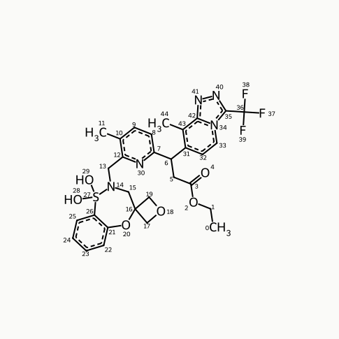 CCOC(=O)CC(c1ccc(C)c(CN2CC3(COC3)Oc3ccccc3S2(O)O)n1)c1ccn2c(C(F)(F)F)nnc2c1C